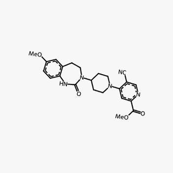 COC(=O)c1cc(N2CCC(N3CCc4cc(OC)ccc4NC3=O)CC2)c(C#N)cn1